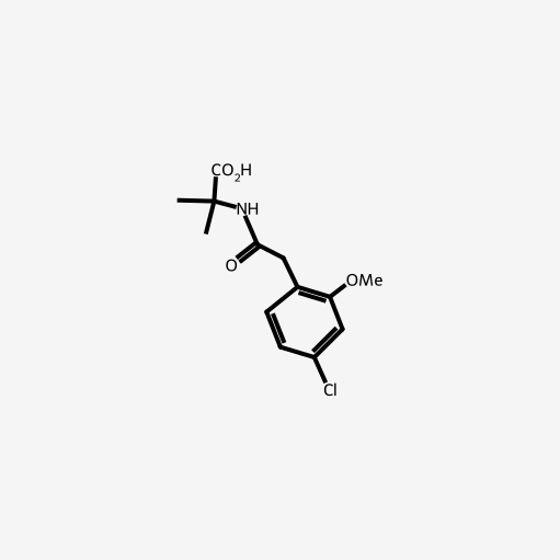 COc1cc(Cl)ccc1CC(=O)NC(C)(C)C(=O)O